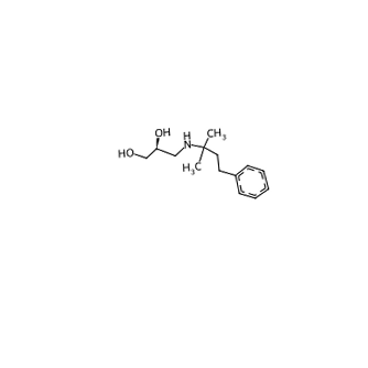 CC(C)(CCc1ccccc1)NC[C@H](O)CO